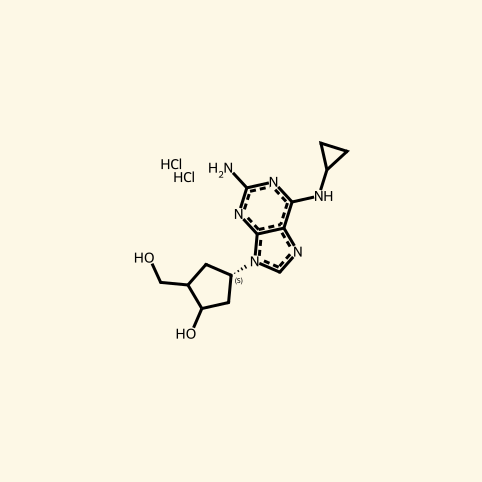 Cl.Cl.Nc1nc(NC2CC2)c2ncn([C@@H]3CC(O)C(CO)C3)c2n1